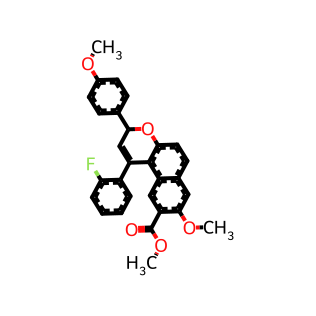 COC(=O)c1cc2c3c(ccc2cc1OC)OC(c1ccc(OC)cc1)C=C3c1ccccc1F